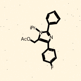 CC(=O)OCc1c(-c2ccc(F)cc2)nc(-c2ccccc2)n1C(C)C